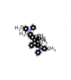 Cc1ccc(N(c2ccccc2)c2ccc3cc4c(cc3c2)C(C(C)(C)C)(C(C)(C)C)c2c-4c3ccccc3c3cc(N(c4ccccc4)c4ccc(C)cc4C)ccc23)c(C)c1